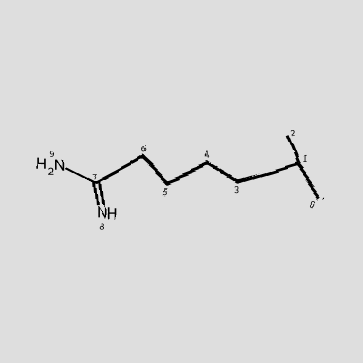 [CH2]C(C)CCCCC(=N)N